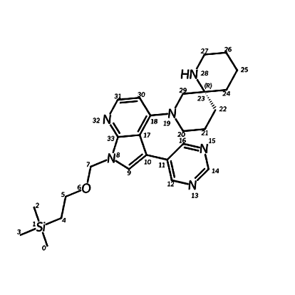 C[Si](C)(C)CCOCn1cc(-c2cncnc2)c2c(N3CCC[C@]4(CCCCN4)C3)ccnc21